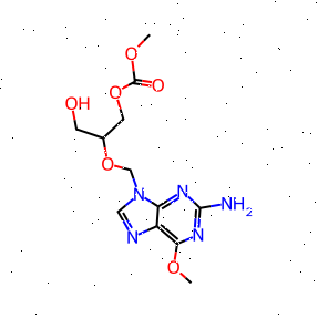 COC(=O)OCC(CO)OCn1cnc2c(OC)nc(N)nc21